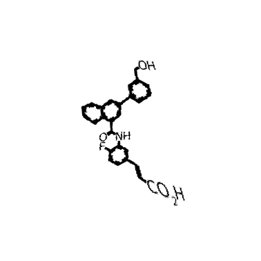 O=C(O)C=Cc1ccc(F)c(NC(=O)c2cc(-c3cccc(CO)c3)cc3ccccc23)c1